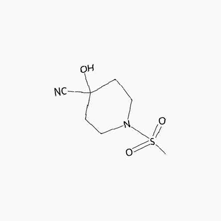 CS(=O)(=O)N1CCC(O)(C#N)CC1